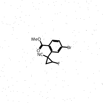 COC(=O)c1ccc(Br)cc1C1(C#N)CC1F